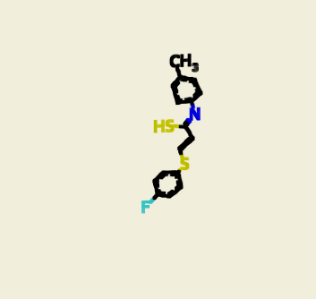 Cc1ccc(N=C(S)C=CSc2ccc(F)cc2)cc1